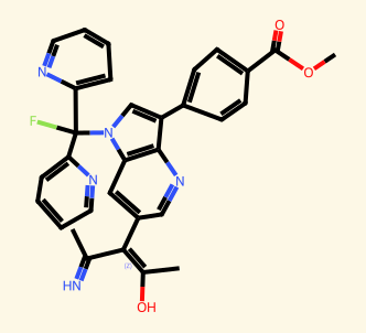 COC(=O)c1ccc(-c2cn(C(F)(c3ccccn3)c3ccccn3)c3cc(/C(C(C)=N)=C(\C)O)cnc23)cc1